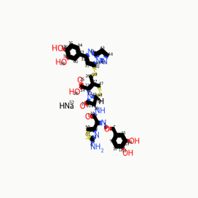 Nc1nc(C(=NOCc2ccc(O)c(O)c2)C(=O)N[C@@H]2C(=O)N3C(C(=O)O)=C(CSc4cc(-c5ccc(O)c(O)c5)nc5ccnn45)CS[C@H]23)cs1.[NaH]